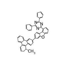 CC1CC=Cc2c1c1ccc(-c3ccc4c(c3)oc3cccc(-c5nc(-c6ccccc6)nc(-c6ccccc6)n5)c34)cc1c1ccccc21